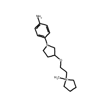 C[N+]1(CCOC2CCN(c3ccc(N)cc3)C2)CCCC1